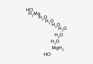 Cl.Cl.O.O.O.O.O.O.[MgH2].[MgH2]